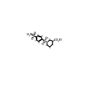 CCOC(=O)[C@@H]1CCCN(S(=O)(=O)c2ccc(S(N)(=O)=O)cc2)C1